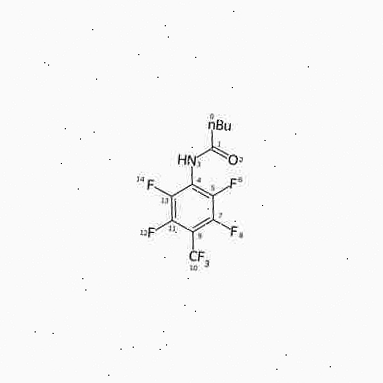 CCCCC(=O)Nc1c(F)c(F)c(C(F)(F)F)c(F)c1F